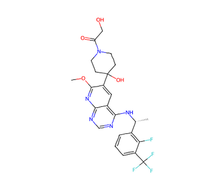 COc1nc2ncnc(N[C@H](C)c3cccc(C(F)(F)F)c3F)c2cc1C1(O)CCN(C(=O)CO)CC1